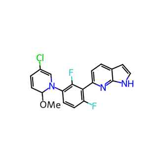 COC1C=CC(Cl)=CN1c1ccc(F)c(-c2ccc3cc[nH]c3n2)c1F